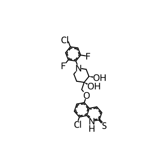 O[C@@H]1CN(c2c(F)cc(Cl)cc2F)CC[C@@]1(O)COc1ccc(Cl)c2[nH]c(=S)ccc12